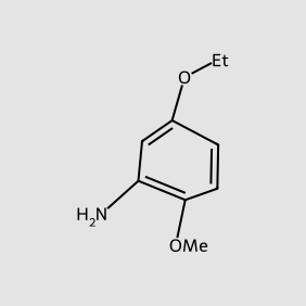 CCOc1ccc(OC)c(N)c1